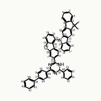 CC1(C)c2ccccc2-c2cc3c(cc21)c1ccccc1n3-c1cccc2oc3cc(C4=NC(c5ccc(-c6ccccc6)cc5)=NC(c5ccccc5)N4)ccc3c12